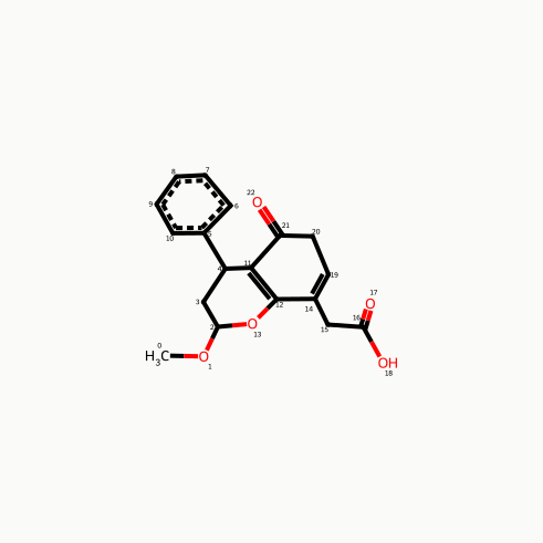 COC1CC(c2ccccc2)C2=C(O1)C(CC(=O)O)=CCC2=O